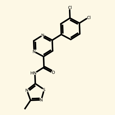 Cc1nsc(NC(=O)c2cc(-c3ccc(Cl)c(Cl)c3)ncn2)n1